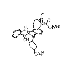 COC(=O)N1c2ccc3c(nc(N(C)c4ccccc4C)n3C3CCC(C(=O)O)CC3)c2CCC1C